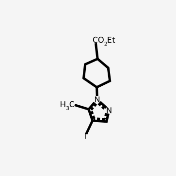 CCOC(=O)C1CCC(n2ncc(I)c2C)CC1